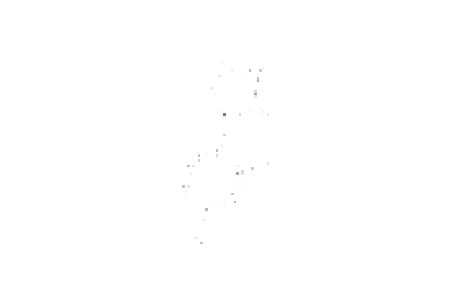 [C-]#[N+]c1ccc(N2C=C(C)N(C)C2C)c(C)c1